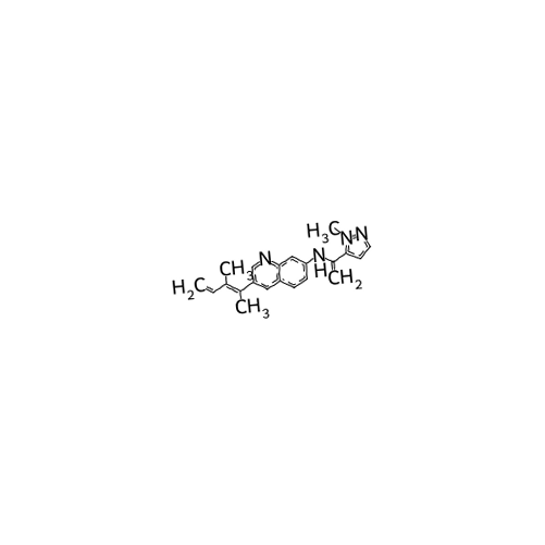 C=C/C(C)=C(\C)c1cnc2cc(NC(=C)c3ccnn3C)ccc2c1